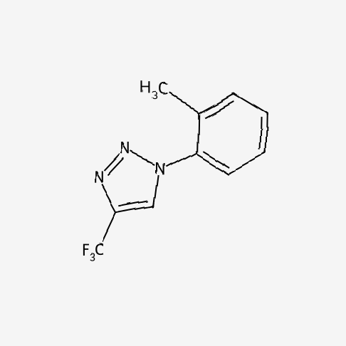 Cc1ccccc1-n1cc(C(F)(F)F)nn1